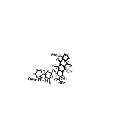 COc1cccc2c1C(=O)c1c(O)c3c(c(O)c1C2=O)C[C@@](O)(C(=O)C(C)C)C[C@@H]3O[C@H]1C[C@H]2[C@H](O[C@@H]3[C@@H](OC)CCCN32)[C@H](C)O1